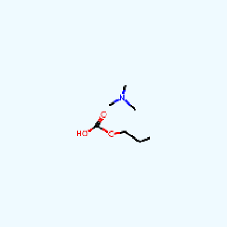 CCCOC(=O)O.CN(C)C